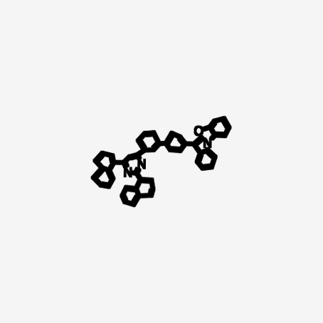 c1cc(-c2ccc(-c3c4ccccc4n4c3oc3ccccc34)cc2)cc(-c2cc(-c3cccc4ccccc34)nc(-c3cccc4ccccc34)n2)c1